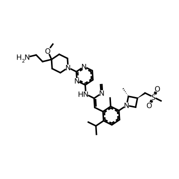 C=N/C(=C\c1c(C(C)C)ccc(N2C[C@H](CS(C)(=O)=O)[C@H]2C)c1C)Nc1ccnc(N2CCC(CCN)(OC)CC2)n1